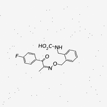 CC(=NOCc1ccccc1CNC(=O)O)C(=O)c1ccc(F)cc1